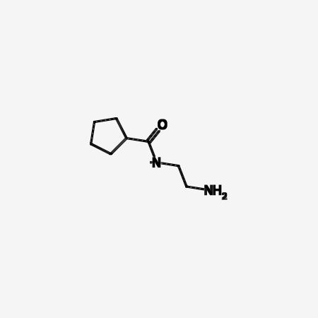 NCC[N]C(=O)C1CCCC1